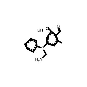 Cc1cc(P(CN)c2ccccc2)cc(Cl)c1C=O.[LiH]